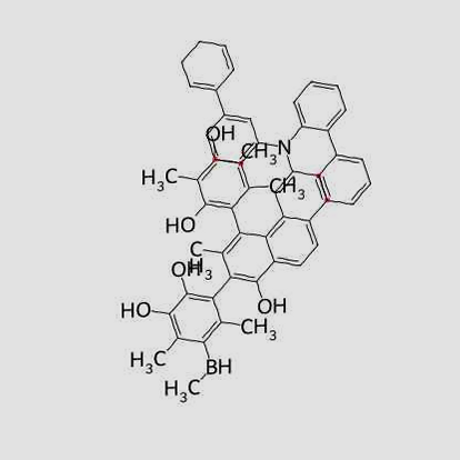 CBc1c(C)c(O)c(O)c(-c2c(C)c(-c3c(C)c(C)c(O)c(C)c3O)c3c(ccc4ccc(N(c5cccc(C6=CCCC=C6)c5)c5ccccc5-c5ccccc5)cc43)c2O)c1C